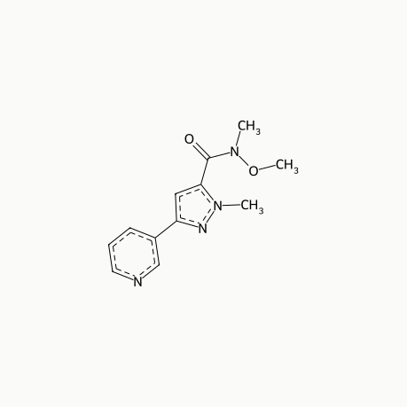 CON(C)C(=O)c1cc(-c2cccnc2)nn1C